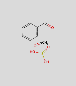 C=O.O=Cc1ccccc1.O=S(O)O